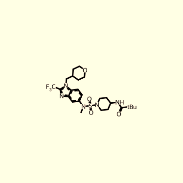 CN(c1ccc2c(c1)nc(C(F)(F)F)n2CC1CCOCC1)S(=O)(=O)N1CCC(NC(=O)C(C)(C)C)CC1